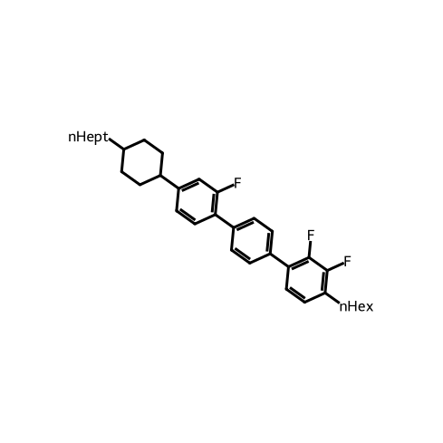 CCCCCCCC1CCC(c2ccc(-c3ccc(-c4ccc(CCCCCC)c(F)c4F)cc3)c(F)c2)CC1